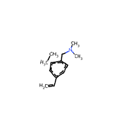 C=Cc1ccc(CN(C)C)cc1.CC